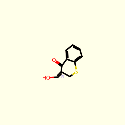 O=C1/C(=C\O)CSc2ccccc21